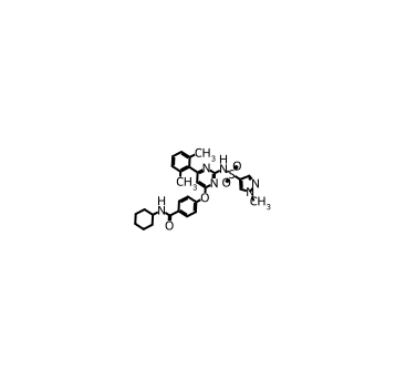 Cc1cccc(C)c1-c1cc(Oc2ccc(C(=O)NC3CCCCC3)cc2)nc(NS(=O)(=O)c2cnn(C)c2)n1